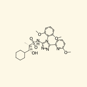 COc1cccc(-c2nnc(NS(=O)(=O)[C@@H](C)[C@H](O)C3CCCCC3)n2-c2c(OC)cccc2OC)n1